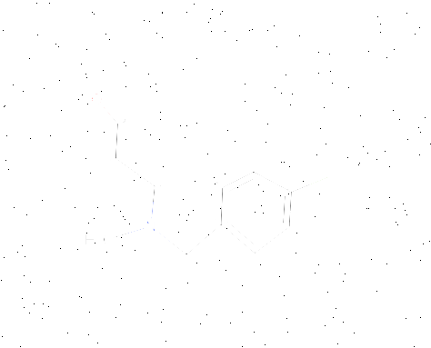 CN(CCCO)Cc1ccc(F)cc1